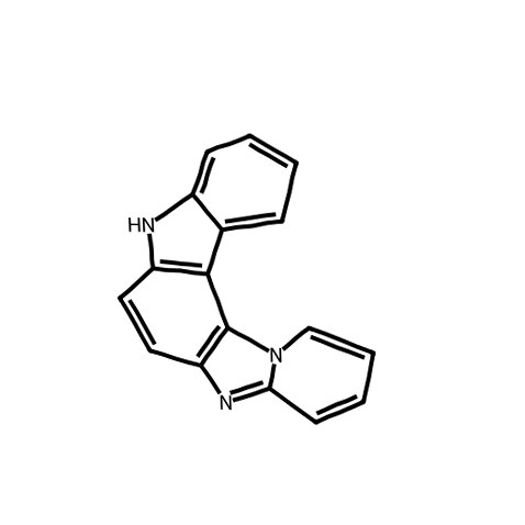 c1ccc2c(c1)[nH]c1ccc3nc4ccccn4c3c12